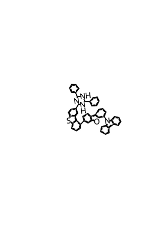 c1ccc(C2=NC(c3ccc4sc5cccc(-c6ccc7c(c6)oc6c(-n8c9ccccc9c9ccccc98)cccc67)c5c4c3)NC(c3ccccc3)N2)cc1